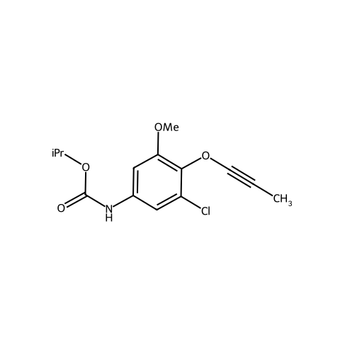 CC#COc1c(Cl)cc(NC(=O)OC(C)C)cc1OC